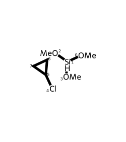 CO[SiH](OC)OC.ClC1CC1